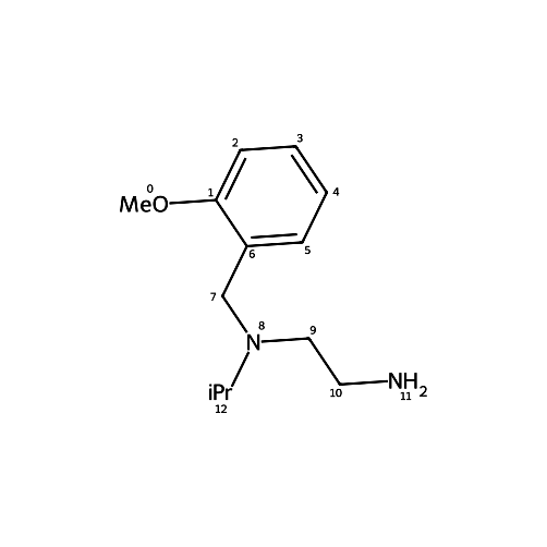 COc1ccccc1CN(CCN)C(C)C